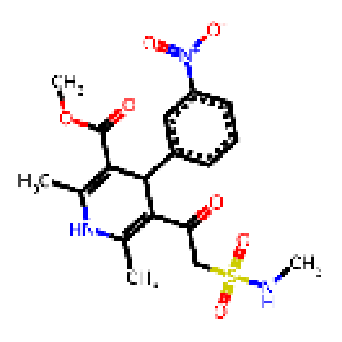 CNS(=O)(=O)CC(=O)C1=C(C)NC(C)=C(C(=O)OC)C1c1cccc([N+](=O)[O-])c1